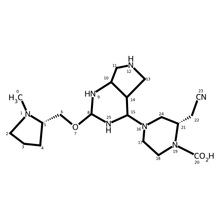 CN1CCC[C@H]1COC1NC2CNCC2C(N2CCN(C(=O)O)[C@@H](CC#N)C2)N1